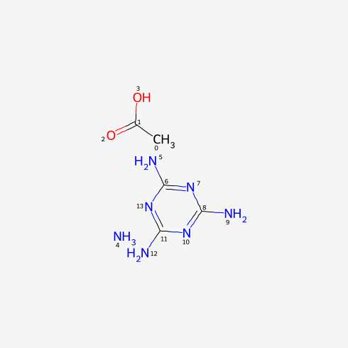 CC(=O)O.N.Nc1nc(N)nc(N)n1